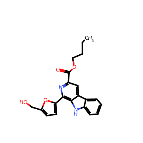 CCCCOC(=O)c1cc2c([nH]c3ccccc32)c(-c2ccc(CO)o2)n1